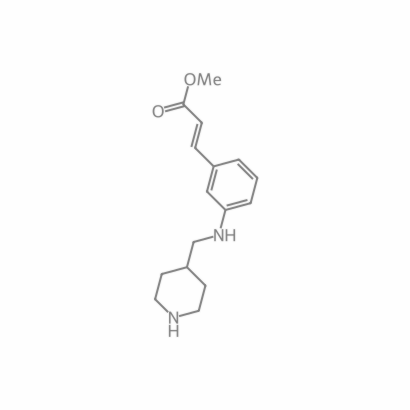 COC(=O)/C=C/c1cccc(NCC2CCNCC2)c1